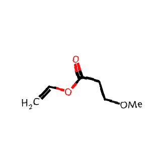 C=COC(=O)CCOC